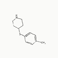 Cc1ccc(SC2CCNCC2)cc1